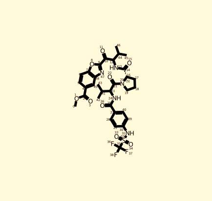 COC(=O)c1ccc2oc(C(=O)C(NC(=O)[C@@H]3CCCN3C(=O)C(NC(=O)c3ccc(NS(=O)(=O)C(F)(F)F)cc3)C(C)C)C(C)C)nc2c1